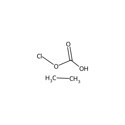 CC.O=C(O)OCl